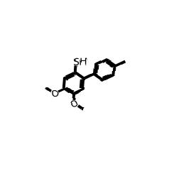 COc1cc(S)c(-c2ccc(C)cc2)cc1OC